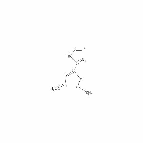 C=C/C=C(\CCC)c1ncc[nH]1